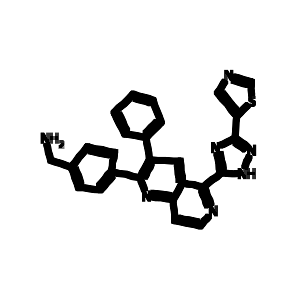 NCc1ccc(-c2nc3ccnc(-c4nc(-c5cncs5)n[nH]4)c3cc2-c2ccccc2)cc1